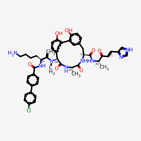 C=C([C@H](CCCCN)NC(=O)c1ccc(-c2ccc(Cl)cc2)cc1)N(C)[C@@H]1C(=O)N[C@@H](C)C(=O)N[C@H](C(=O)N[C@@H](C)C(=O)/C=C/c2c[nH]cn2)Cc2ccc(O)c(c2)-c2cc1ccc2O